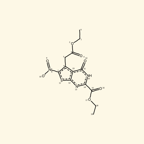 CCOC(=O)Cc1c([N+](=O)[O-])sc2nc(C(=O)OCC)[nH]c(=O)c12